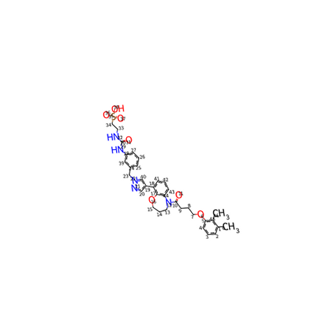 Cc1cccc(OCCCC(=O)N2CCCOc3c(-c4cnn(Cc5cccc(NC(=O)NCCS(=O)(=O)O)c5)c4)cccc32)c1C